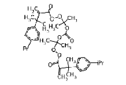 C=C(C(=O)OOC(C)(C)OC(=O)OC(C)(C)OOC(=O)C(=C)C(C)(C)c1ccc(C(C)C)cc1)C(C)(C)c1ccc(C(C)C)cc1